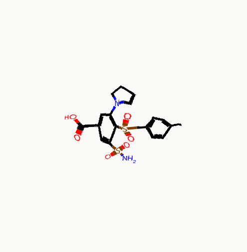 Cc1ccc(S(=O)(=O)c2c(N3CCCC3)cc(C(=O)O)cc2S(N)(=O)=O)cc1